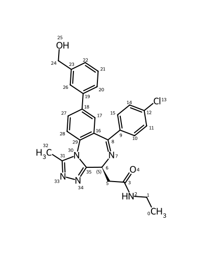 CCNC(=O)C[C@@H]1N=C(c2ccc(Cl)cc2)c2cc(-c3cccc(CO)c3)ccc2-n2c(C)nnc21